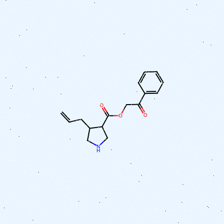 C=CCC1CNCC1C(=O)OCC(=O)c1ccccc1